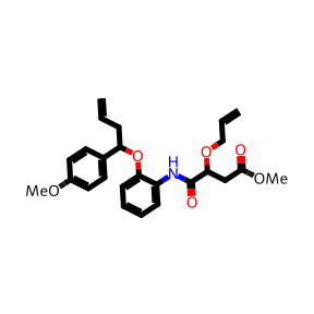 C=CCOC(CC(=O)OC)C(=O)Nc1ccccc1OC(CC=C)c1ccc(OC)cc1